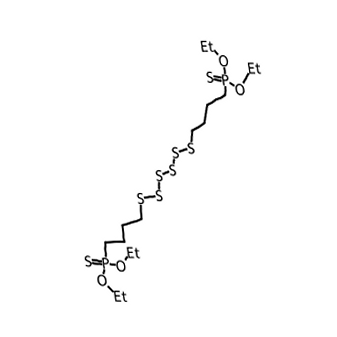 CCOP(=S)(CCCCSSSSSSCCCCP(=S)(OCC)OCC)OCC